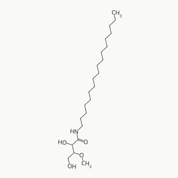 CCCCCCCCCCCCCCCCCCNC(=O)C(O)C(CO)OC